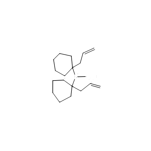 C=CCC1(N(C(=O)O)C2(CC=C)CCCCC2)CCCCC1